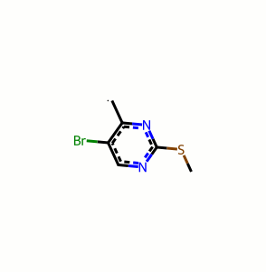 [CH2]c1nc(SC)ncc1Br